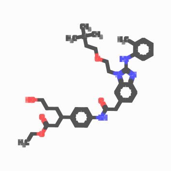 CCOC(=O)CC(CCCO)c1ccc(NC(=O)Cc2ccc3nc(Nc4ccccc4C)n(CCOCC[Si](C)(C)C)c3c2)cc1